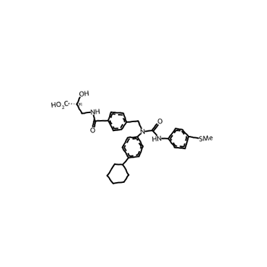 CSc1ccc(NC(=O)N(Cc2ccc(C(=O)NC[C@@H](O)C(=O)O)cc2)c2ccc(C3CCCCC3)cc2)cc1